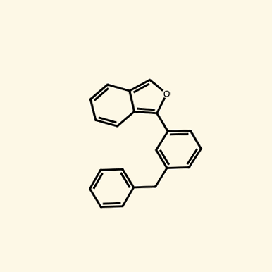 c1ccc(Cc2cccc(-c3occ4ccccc34)c2)cc1